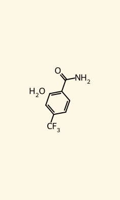 NC(=O)c1ccc(C(F)(F)F)cc1.O